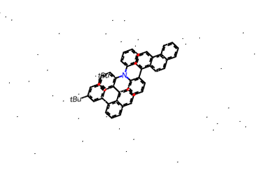 CC(C)(C)c1cc(-c2cccc3cccc(-c4ccccc4N(c4ccccc4)c4ccccc4-c4cccc5c4ccc4ccccc45)c23)cc(C(C)(C)C)c1